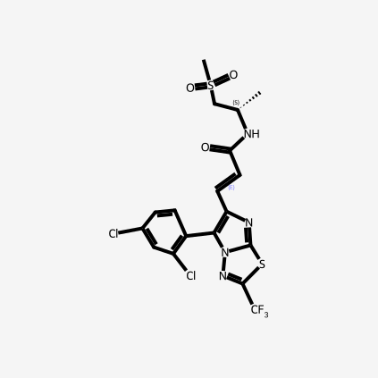 C[C@@H](CS(C)(=O)=O)NC(=O)/C=C/c1nc2sc(C(F)(F)F)nn2c1-c1ccc(Cl)cc1Cl